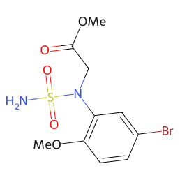 COC(=O)CN(c1cc(Br)ccc1OC)S(N)(=O)=O